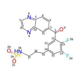 O=C(c1ccc2nccnc2c1)c1cc(CCCN[SH](=O)=O)cc(F)c1F